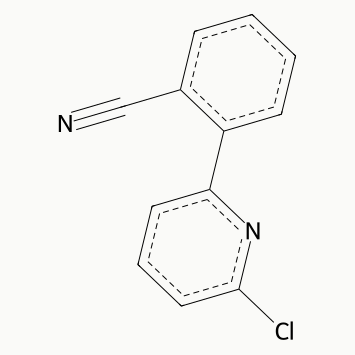 N#Cc1ccccc1-c1cccc(Cl)n1